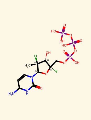 C[C@]1(Cl)[C@H](N2C=CC(N)NC2=O)O[C@](F)(COP(=O)(O)OP(=O)(O)OP(=O)(O)O)[C@H]1O